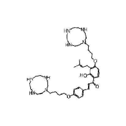 CC(C)=CCc1c(OCCCCN2CCNCCNCCNCC2)ccc(C(=O)/C=C/c2ccc(OCCCCN3CCNCCNCCNCC3)cc2)c1O